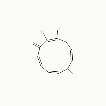 C=C1/C=C\C=C/C(C)/C=C\C/C(C)=C\1NC